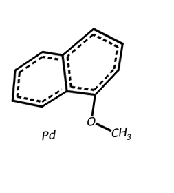 COc1cccc2ccccc12.[Pd]